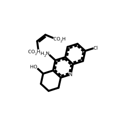 Nc1c2c(nc3cc(Cl)ccc13)CCCC2O.O=C(O)/C=C\C(=O)O